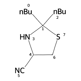 CCCCC1(CCCC)NC(C#N)CS1